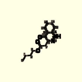 CCCCOC(=O)Cc1n[nH]c2ccccc2c1=O